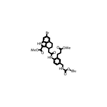 COC(=O)CCc1cc(CNC(=O)OC(C)(C)C)ccc1NC(=O)CC1CCc2cc(Br)cc3[nH]c(C(=O)OC)c1c23